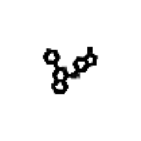 c1cnc2cc(-c3ccncc3)nc(Nc3ccc4[nH]ccc4c3)c2c1